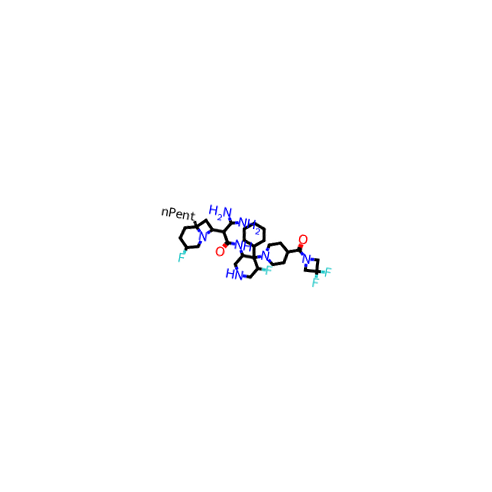 CCCCCC12CCC(F)CN1C(C(C(=O)NC1CNCC(F)C1(C1CCCCC1)N1CCC(C(=O)N3CC(F)(F)C3)CC1)C(N)N)C2